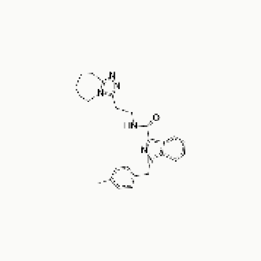 Cc1ccc(Cn2nc(C(=O)NCCc3nnc4n3CCCCC4)c3ccccc32)cc1